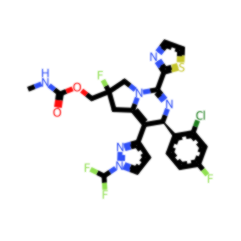 CNC(=O)OCC1(F)CC2=C(c3ccn(C(F)F)n3)[C@H](c3ccc(F)cc3Cl)N=C(c3nccs3)N2C1